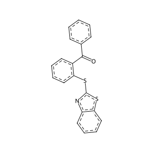 O=C(c1ccccc1)c1ccccc1Sc1nc2ccccc2s1